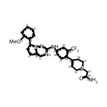 COc1ccccc1-c1ccc2cnc(Nc3ccc(C4=CCN(CC(N)=O)CC4)c(C(F)(F)F)c3)nn12